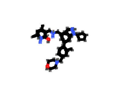 Cc1cc(C)c(CNCc2cc(-c3ccc(CN4CCOCC4)cc3C)cc3c2cnn3C2CCCC2)c(=O)[nH]1